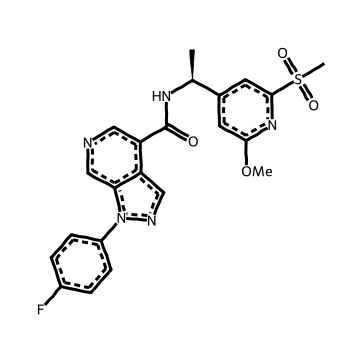 COc1cc([C@H](C)NC(=O)c2cncc3c2cnn3-c2ccc(F)cc2)cc(S(C)(=O)=O)n1